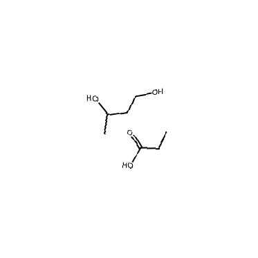 CC(O)CCO.CCC(=O)O